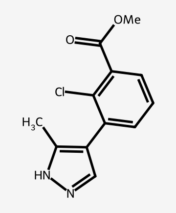 COC(=O)c1cccc(-c2cn[nH]c2C)c1Cl